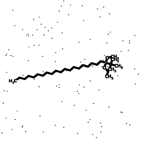 CCCCCCCCCCCCCCCCCCCC[Si](OC)(OCC)C(C)(C)C